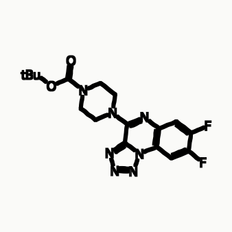 CC(C)(C)OC(=O)N1CCN(c2nc3cc(F)c(F)cc3n3nnnc23)CC1